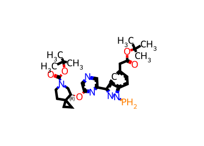 CC(C)(C)OC(=O)Cc1ccc2c(c1)c(-c1cncc(O[C@H]3CN(C(=O)OC(C)(C)C)CCC34CC4)n1)nn2P